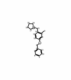 Cc1cc(OCc2ccccc2)ccc1CN1CCCC1